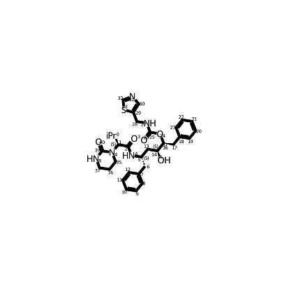 CC(C)[C@@H](C(=O)N[C@@H](Cc1ccccc1)C[C@H](O)[C@H](Cc1ccccc1)OC(=O)NCc1cncs1)N1CCCNC1=O